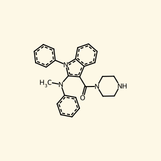 CN(c1ccccc1)c1c(C(=O)N2CCNCC2)c2ccccc2n1-c1ccccc1